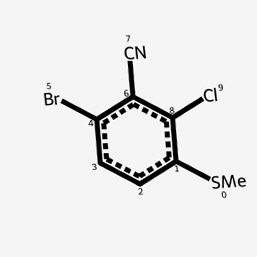 CSc1ccc(Br)c(C#N)c1Cl